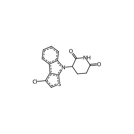 O=C1CCC(n2c3ccccc3c3c(Cl)csc32)C(=O)N1